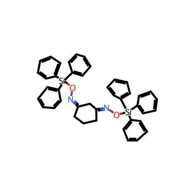 c1ccc([Si](ON=C2CCCC(=NO[Si](c3ccccc3)(c3ccccc3)c3ccccc3)C2)(c2ccccc2)c2ccccc2)cc1